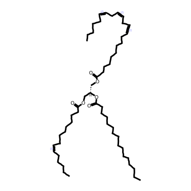 CCCCC/C=C\C/C=C\C/C=C\CCCCCCCCC(=O)OC[C@@H](COC(=O)CCCCCCC/C=C\CCCCC)OC(=O)CCCCCCCCCCCCCCC